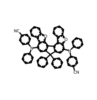 N#Cc1ccc(N(c2ccccc2)c2cc3c(c4c2oc2ccccc24)-c2c(cc(N(c4ccccc4)c4ccc(C#N)cc4)c4c2oc2ccccc24)C3(c2ccccc2)c2ccccc2)cc1